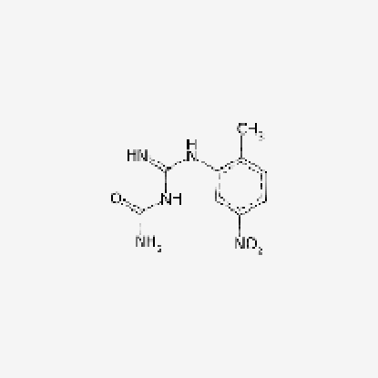 Cc1ccc([N+](=O)[O-])cc1NC(=N)NC(N)=O